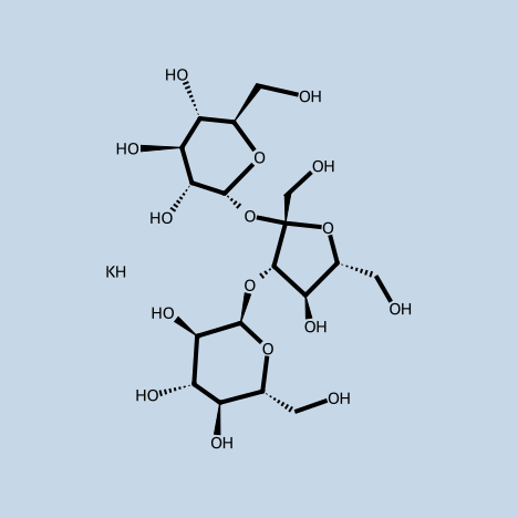 OC[C@H]1O[C@@](CO)(O[C@H]2O[C@H](CO)[C@@H](O)[C@H](O)[C@H]2O)[C@@H](O[C@H]2O[C@H](CO)[C@@H](O)[C@H](O)[C@H]2O)[C@@H]1O.[KH]